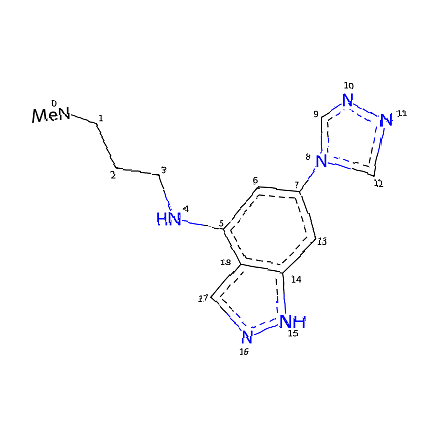 CNCCCNc1cc(-n2cnnc2)cc2[nH]ncc12